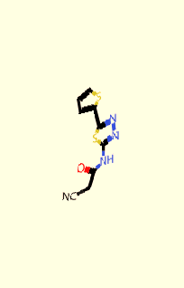 N#CCC(=O)Nc1nnc(-c2cccs2)s1